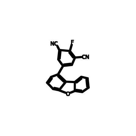 N#Cc1cc(-c2cccc3oc4ccccc4c23)cc(C#N)c1F